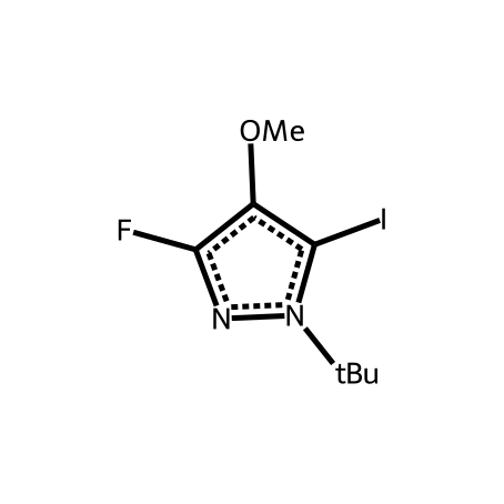 COc1c(F)nn(C(C)(C)C)c1I